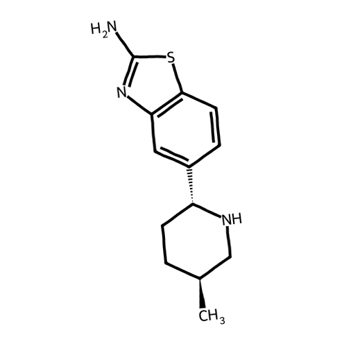 C[C@H]1CC[C@H](c2ccc3sc(N)nc3c2)NC1